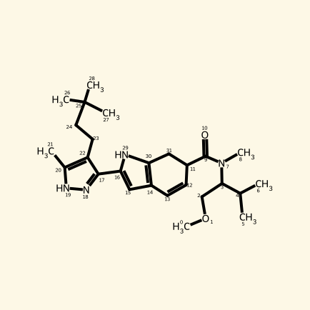 COCC(C(C)C)N(C)C(=O)C1C=Cc2cc(-c3n[nH]c(C)c3CCC(C)(C)C)[nH]c2C1